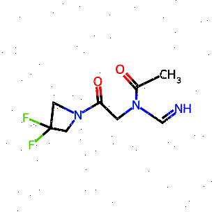 CC(=O)N(C=N)CC(=O)N1CC(F)(F)C1